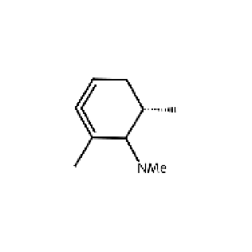 CNC1C(C)=C=CC[C@@H]1C